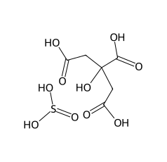 O=C(O)CC(O)(CC(=O)O)C(=O)O.O=S(O)O